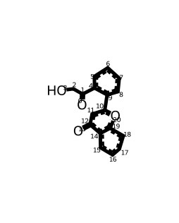 O=C(CO)c1ccccc1-c1cc(=O)c2ccccc2o1